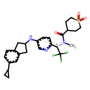 CN(C(=O)C1CCS(=O)(=O)CC1)[C@@H](c1ccc(NC2Cc3ccc(C4CC4)cc3C2)cn1)C(F)(F)F